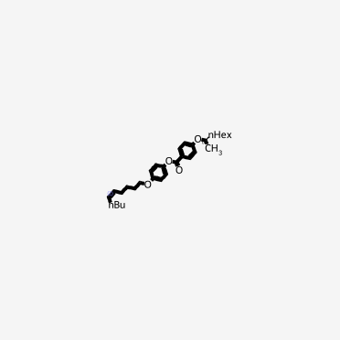 CCCC/C=C\CCCCOc1ccc(OC(=O)c2ccc(O[C@@H](C)CCCCCC)cc2)cc1